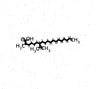 C=C(CCCCC(CCCCCCCCCCCC)C(C)C)C(=O)O